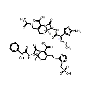 CO/N=C(/C(=O)N[C@@H]1C(=O)N2C(C(=O)O)=C(COC(C)=O)CS[C@H]12)c1csc(N)n1.O=C(O)C1=C(CSc2nnnn2CS(=O)(=O)O)CS[C@@H]2[C@H](NC(=O)[C@H](O)c3ccccc3)C(=O)N12